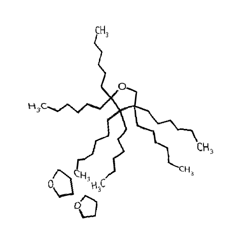 C1CCOC1.C1CCOC1.CCCCCCC1(CCCCCC)COC(CCCCCC)(CCCCCC)C1(CCCCCC)CCCCCC